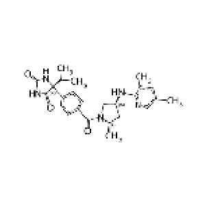 Cc1cnc(N[C@H]2C[C@@H](C)N(C(=O)c3ccc([C@@]4(C(C)C)NC(=O)NC4=O)cc3)C2)c(C)c1